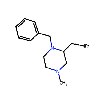 CC(C)CC1CN(C)CCN1Cc1ccccc1